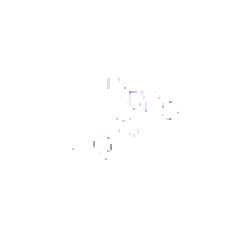 CN(c1ccccc1)c1nc(N)nc(-c2noc(-c3ccc(CNC4CCC4)nc3)n2)n1